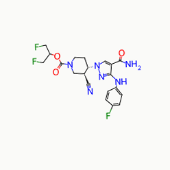 N#C[C@H]1CN(C(=O)OC(CF)CF)CC[C@@H]1n1cc(C(N)=O)c(Nc2ccc(F)cc2)n1